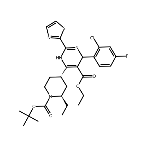 CCOC(=O)C1=C([C@H]2CCN(C(=O)OC(C)(C)C)[C@H](CC)C2)NC(c2nccs2)=NC1c1ccc(F)cc1Cl